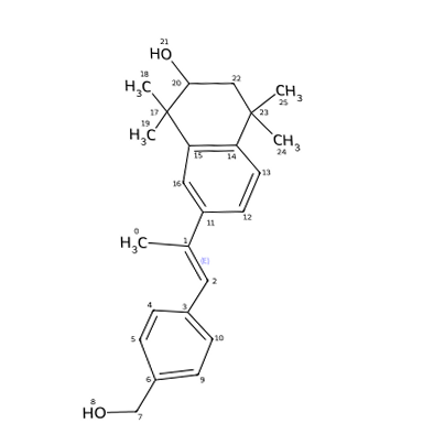 C/C(=C\c1ccc(CO)cc1)c1ccc2c(c1)C(C)(C)C(O)CC2(C)C